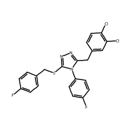 Fc1ccc(CSc2nnc(Cc3ccc(Cl)c(Cl)c3)n2-c2ccc(F)cc2)cc1